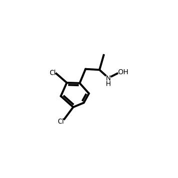 CC(Cc1ccc(Cl)cc1Cl)NO